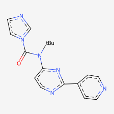 CC(C)(C)N(C(=O)n1ccnc1)c1ccnc(-c2ccncc2)n1